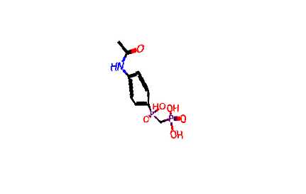 CC(=O)Nc1ccc(P(=O)(O)CP(=O)(O)O)cc1